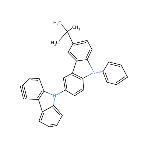 CC(C)(C)c1ccc2c(c1)c1cc(-n3c4ccc#cc4c4ccccc43)ccc1n2-c1ccccc1